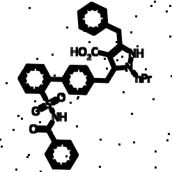 CCCN1NC(Cc2ccccc2)=C(C(=O)O)C1Cc1ccc(-c2ccccc2S(=O)(=O)NC(=O)c2ccccc2)cc1